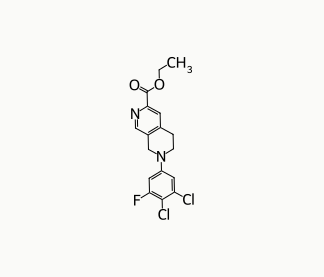 CCOC(=O)c1cc2c(cn1)CN(c1cc(F)c(Cl)c(Cl)c1)CC2